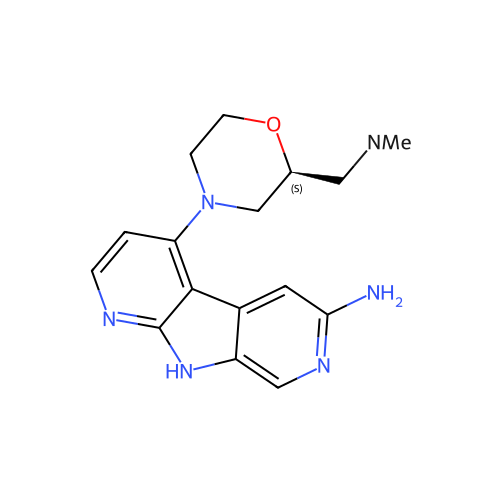 CNC[C@H]1CN(c2ccnc3[nH]c4cnc(N)cc4c23)CCO1